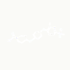 Cc1nc(S(C)(=O)=O)ccc1OC1CCC(OC2CCN(C(=O)S)CC2)CC1